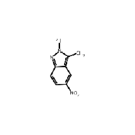 [2H]n1nc2ccc([N+](=O)[O-])cc2c1C